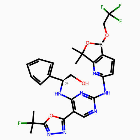 CC(C)(F)c1nnc(-c2cnc(Nc3ccc4c(n3)C(C)(C)OB4OCC(F)(F)F)nc2N[C@H](CO)c2ccccc2)o1